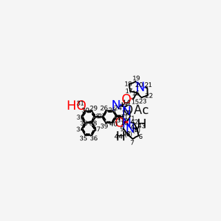 CC(=O)OCC(=O)N1[C@@H]2CC[C@H]1CN(c1nc(OCC34CCCN3CCC4)nc3cc(-c4cc(O)cc5ccccc45)ccc13)C2